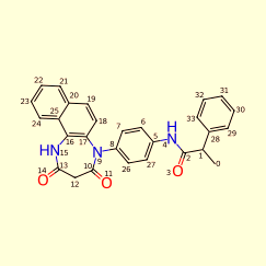 CC(C(=O)Nc1ccc(N2C(=O)CC(=O)Nc3c2ccc2ccccc32)cc1)c1ccccc1